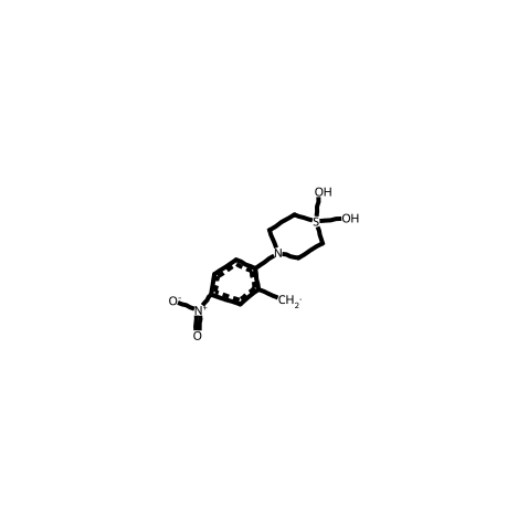 [CH2]c1cc([N+](=O)[O-])ccc1N1CCS(O)(O)CC1